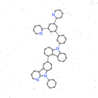 c1ccc(-n2c3ccc(-c4cccc5c4c4ccccc4n5-c4cccc(-c5cc(-c6ccccn6)cc(-c6ccccn6)c5)c4)cc3c3cccnc32)cc1